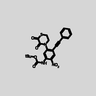 CC(C)(C)OC(=O)Nc1cc(N2CCSC(=O)C2=O)c(C#Cc2ccccc2)cc1[N+](=O)[O-]